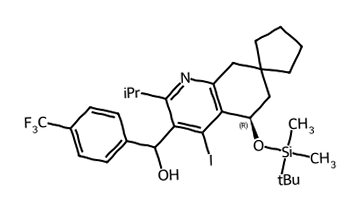 CC(C)c1nc2c(c(I)c1C(O)c1ccc(C(F)(F)F)cc1)[C@H](O[Si](C)(C)C(C)(C)C)CC1(CCCC1)C2